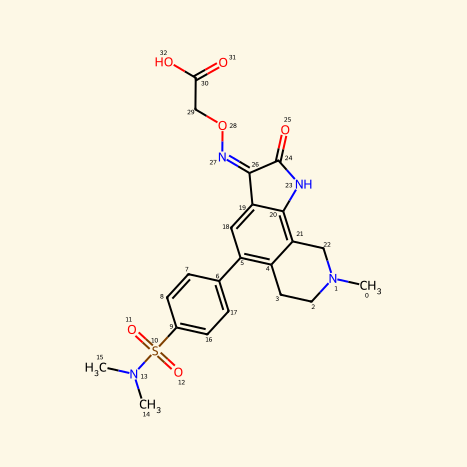 CN1CCc2c(-c3ccc(S(=O)(=O)N(C)C)cc3)cc3c(c2C1)NC(=O)C3=NOCC(=O)O